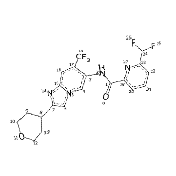 O=C(Nc1cn2cc(C3CCOCC3)nc2cc1C(F)(F)F)c1cccc(C(F)F)n1